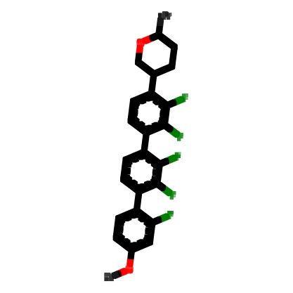 CCCC1CCC(c2ccc(-c3ccc(-c4ccc(OCC)cc4F)c(F)c3F)c(F)c2F)CO1